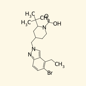 CCc1c(Br)ccc2nn(CC3CCN(C(=O)O)C(C(C)(C)C)C3)cc12